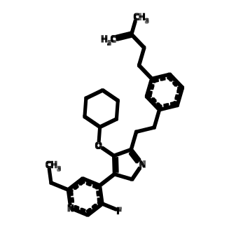 C=C(C)CCc1cccc(CCC2=NCC(c3cc(CC)ncc3F)=C2OC2CCCCC2)c1